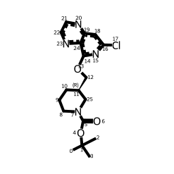 CC(C)(C)OC(=O)N1CCC[C@@H](COc2nc(Cl)cc3nccnc23)C1